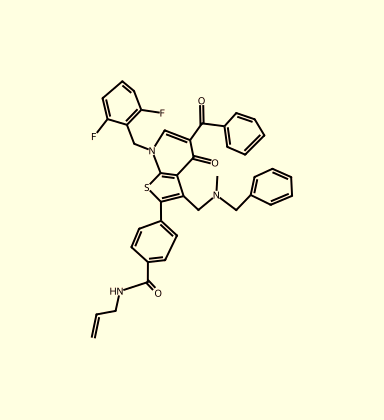 C=CCNC(=O)c1ccc(-c2sc3c(c2CN(C)Cc2ccccc2)c(=O)c(C(=O)c2ccccc2)cn3Cc2c(F)cccc2F)cc1